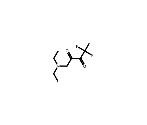 CCN(CC)CC(=O)C(=O)C(C)(F)F